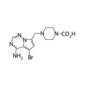 Nc1ncnn2c(CN3CCN(C(=O)O)CC3)cc(Br)c12